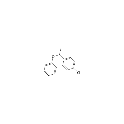 [CH2]C(Oc1ccccc1)c1ccc(Cl)cc1